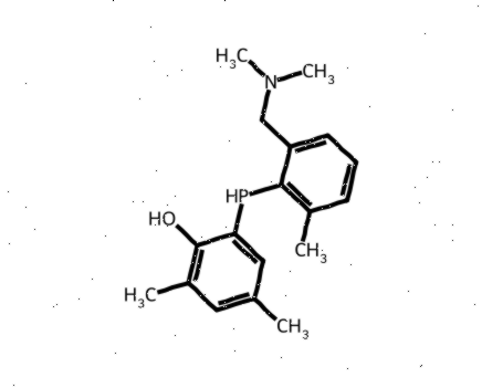 Cc1cc(C)c(O)c(Pc2c(C)cccc2CN(C)C)c1